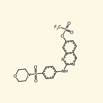 O=S(=O)(c1ccc(Nc2ncc3ccc(OS(=O)(=O)C(F)(F)F)cc3n2)cc1)N1CCOCC1